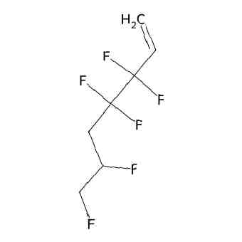 C=CC(F)(F)C(F)(F)CC(F)CF